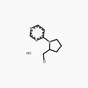 Cl.ClCC1CCCN1c1ccncn1